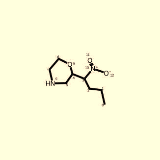 CCCC(C1CNCCO1)[N+](=O)[O-]